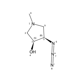 CN1C[C@H](O)[C@H](N=[N+]=[N-])C1